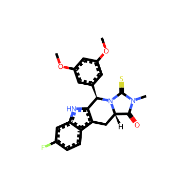 COc1cc(OC)cc([C@@H]2c3[nH]c4cc(F)ccc4c3C[C@H]3C(=O)N(C)C(=S)N23)c1